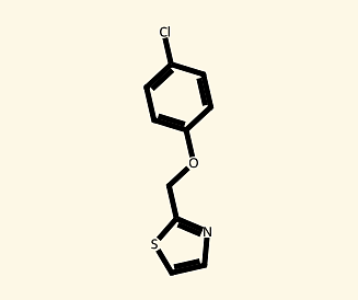 Clc1ccc(OCc2nccs2)cc1